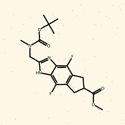 COC(=O)C1Cc2c(c(F)c3[nH]c(CN(C)C(=O)OC(C)(C)C)nc3c2F)C1